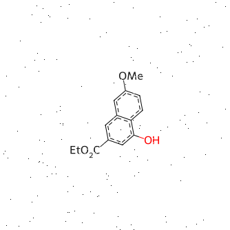 CCOC(=O)c1cc(O)c2ccc(OC)cc2c1